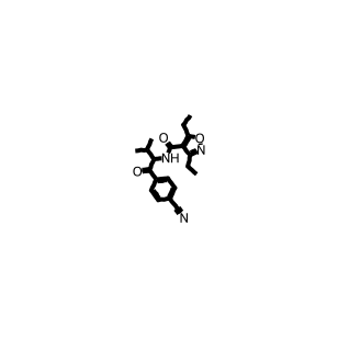 CCc1noc(CC)c1C(=O)NC(C(=O)c1ccc(C#N)cc1)C(C)C